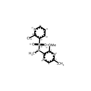 COc1nc(C)cnc1N(C)S(=O)(=O)c1cccnc1Cl